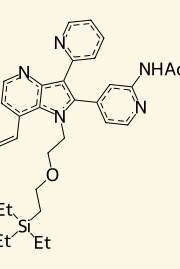 C=Cc1ccnc2c(-c3ccccn3)c(-c3ccnc(NC(C)=O)c3)n(CCOCC[Si](CC)(CC)CC)c12